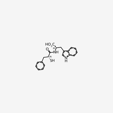 O=C(N[C@H](Cc1c[nH]c2ccccc12)C(=O)O)[C@H](S)Cc1ccccc1